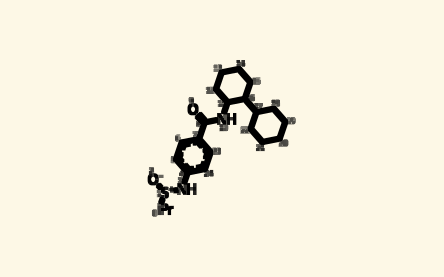 CC(C)[S+]([O-])Nc1ccc(C(=O)NC2CCCCC2C2CCCCC2)cc1